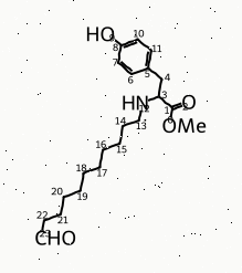 COC(=O)C(Cc1ccc(O)cc1)N[CH]CCCCCCCCCC=O